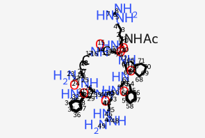 CC(=O)N[C@@H](CCCNC(=N)N)C(=O)N[C@H]1CC(=O)NCCCC[C@@H](C(N)=O)NC(=O)[C@H](Cc2c[nH]c3ccccc23)NC(=O)[C@H](CCCNC(=N)N)NC(=O)[C@@H](Cc2ccccc2)NC(=O)[C@@H](CC2CCCCC2)NC1=O